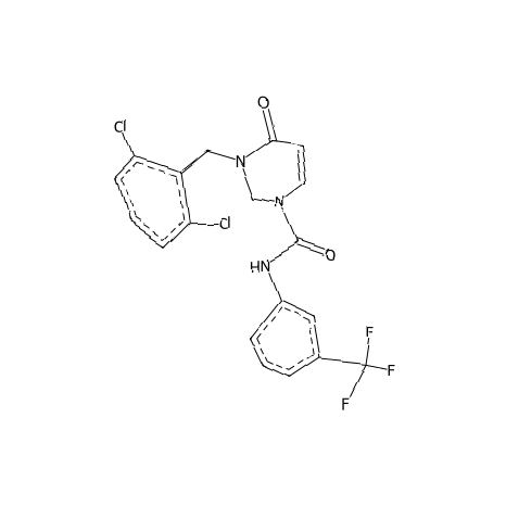 O=C(Nc1cccc(C(F)(F)F)c1)N1C=CC(=O)N(Cc2c(Cl)cccc2Cl)C1